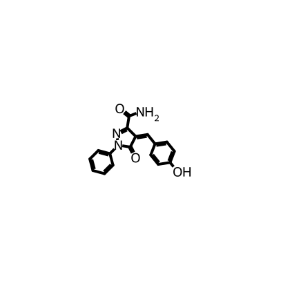 NC(=O)C1=NN(c2ccccc2)C(=O)C1=Cc1ccc(O)cc1